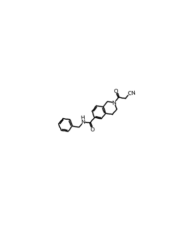 N#CCC(=O)N1CCc2cc(C(=O)NCc3ccccc3)ccc2C1